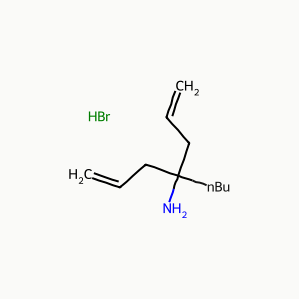 Br.C=CCC(N)(CC=C)CCCC